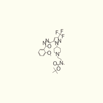 COc1ccccc1-c1nnc(-c2cc(C(F)(F)F)nn2C2CCN(CCN(C)C(=O)OC(C)(C)C)CC2)o1